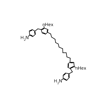 CCCCCCc1cc(CCCCCCCCCCCc2ccc(Cc3ccc(N)cc3)c(CCCCCC)c2)ccc1Cc1ccc(N)cc1